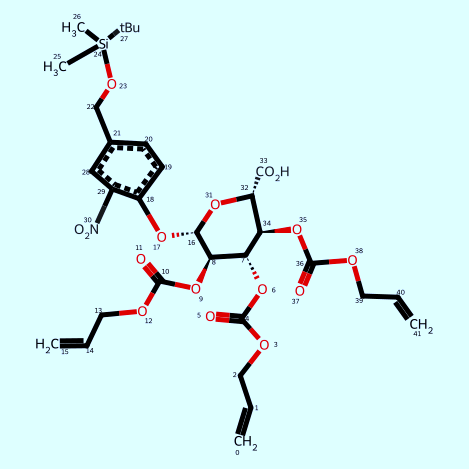 C=CCOC(=O)O[C@@H]1[C@@H](OC(=O)OCC=C)[C@H](Oc2ccc(CO[Si](C)(C)C(C)(C)C)cc2[N+](=O)[O-])O[C@H](C(=O)O)[C@H]1OC(=O)OCC=C